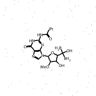 BC(B)(O)C1OC(n2cnc3c(=O)[nH]c(NC(=O)C(C)C)nc32)C(OC)C1O